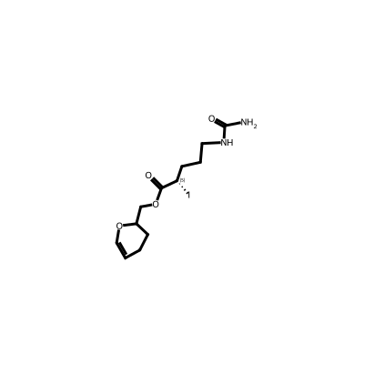 NC(=O)NCCC[C@H](I)C(=O)OCC1CCC=CO1